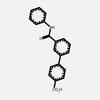 O=C(O)c1ccc(-c2cccc(C(=O)Nc3ccccc3)c2)cc1